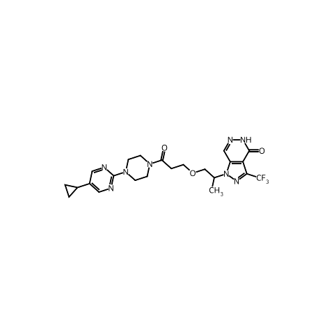 CC(COCCC(=O)N1CCN(c2ncc(C3CC3)cn2)CC1)n1nc(C(F)(F)F)c2c(=O)[nH]ncc21